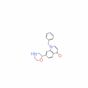 O=c1ccn(Cc2ccccc2)c2cc(C3CNCCO3)ccc12